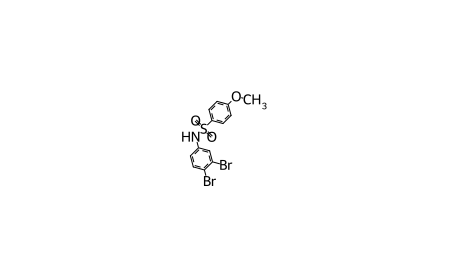 COc1ccc(S(=O)(=O)Nc2ccc(Br)c(Br)c2)cc1